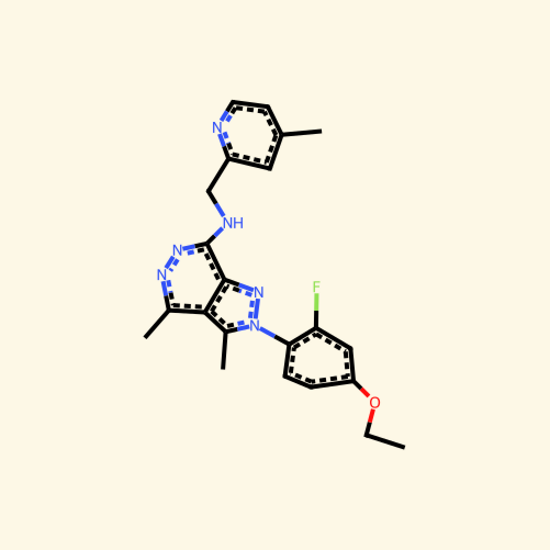 CCOc1ccc(-n2nc3c(NCc4cc(C)ccn4)nnc(C)c3c2C)c(F)c1